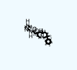 CC1(c2ccccc2)CCC2(C)CC(O)(CC(=O)Nc3nc[nH]n3)CCN2C1